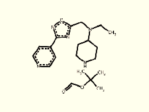 CC(C)(C)OC=O.CCN(Cc1nc(-c2ccncc2)no1)C1CCNCC1